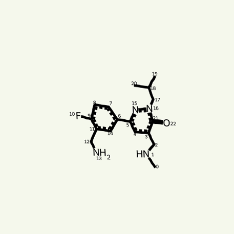 CNCc1cc(-c2ccc(F)c(CN)c2)nn(CC(C)C)c1=O